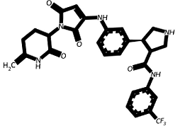 C=C1CCC(N2C(=O)C=C(Nc3cccc([C@H]4CNCC4C(=O)Nc4cccc(C(F)(F)F)c4)c3)C2=O)C(=O)N1